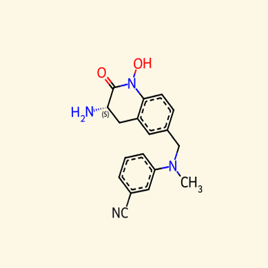 CN(Cc1ccc2c(c1)C[C@H](N)C(=O)N2O)c1cccc(C#N)c1